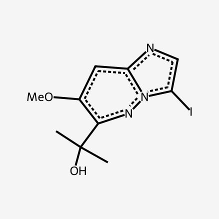 COc1cc2ncc(I)n2nc1C(C)(C)O